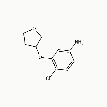 Nc1ccc(Cl)c(OC2CCOC2)c1